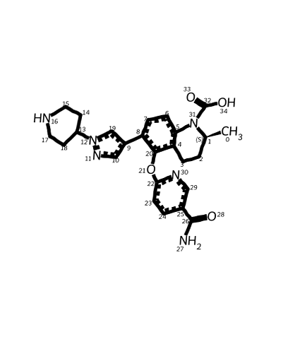 C[C@H]1CCc2c(ccc(-c3cnn(C4CCNCC4)c3)c2Oc2ccc(C(N)=O)cn2)N1C(=O)O